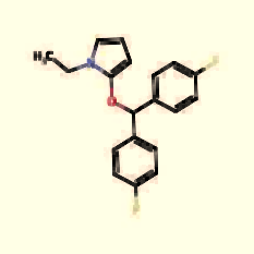 CCn1cccc1OC(c1ccc(F)cc1)c1ccc(F)cc1